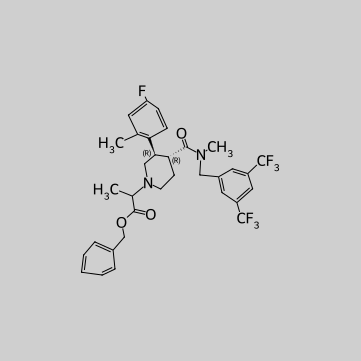 Cc1cc(F)ccc1[C@@H]1CN(C(C)C(=O)OCc2ccccc2)CC[C@H]1C(=O)N(C)Cc1cc(C(F)(F)F)cc(C(F)(F)F)c1